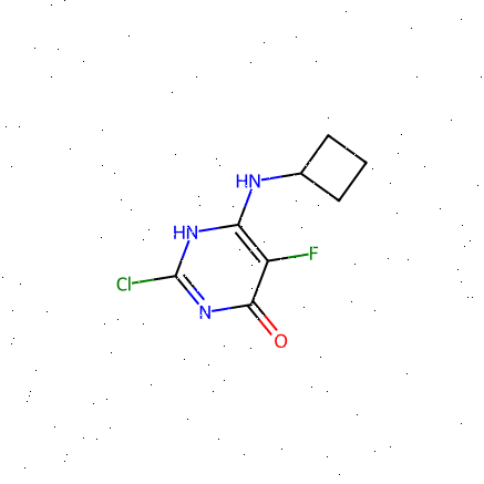 O=c1nc(Cl)[nH]c(NC2CCC2)c1F